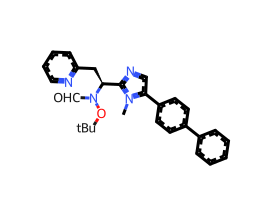 Cn1c(-c2ccc(-c3ccccc3)cc2)cnc1[C@H](Cc1ccccn1)N(C=O)OC(C)(C)C